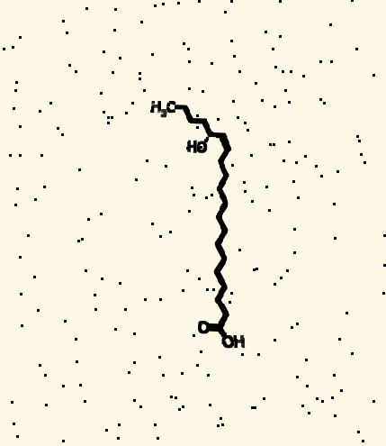 CCCC[C@@H](O)/C=C\CCCCCCCCCCCCC(=O)O